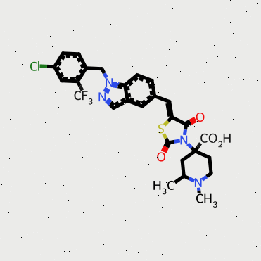 CC1CC(C(=O)O)(N2C(=O)SC(=Cc3ccc4c(cnn4Cc4ccc(Cl)cc4C(F)(F)F)c3)C2=O)CCN1C